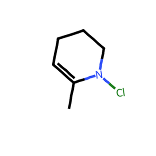 CC1=CCCCN1Cl